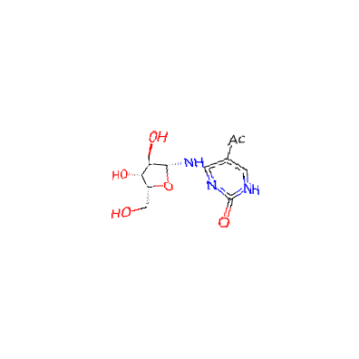 CC(=O)c1c[nH]c(=O)nc1N[C@@H]1O[C@H](CO)[C@H](O)[C@H]1O